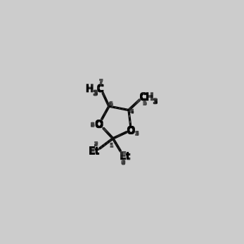 CCC1(CC)OC(C)C(C)O1